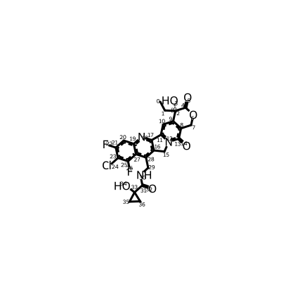 CC[C@@]1(O)C(=O)OCc2c1cc1n(c2=O)Cc2c-1nc1cc(F)c(Cl)c(F)c1c2CNC(=O)C1(O)CC1